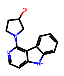 OC1CCN(c2nccc3[nH]c4ccccc4c23)C1